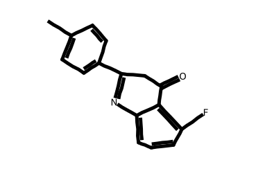 Cc1ccc(C2=Nc3cccc(F)c3C(=O)C2)cc1